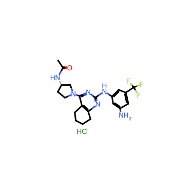 CC(=O)N[C@H]1CCN(c2nc(Nc3cc(N)cc(C(F)(F)F)c3)nc3c2CCCC3)C1.Cl